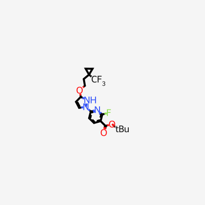 CC(C)(C)OC(=O)c1ccc(N2C=CC(OCCC3(C(F)(F)F)CC3)N2)nc1F